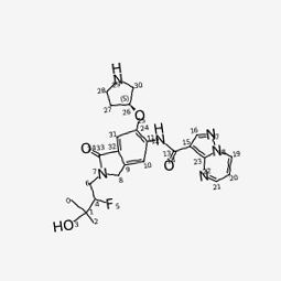 CC(C)(O)C(F)CN1Cc2cc(NC(=O)c3cnn4cccnc34)c(O[C@H]3CCNC3)cc2C1=O